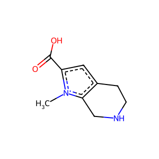 Cn1c(C(=O)O)cc2c1CNCC2